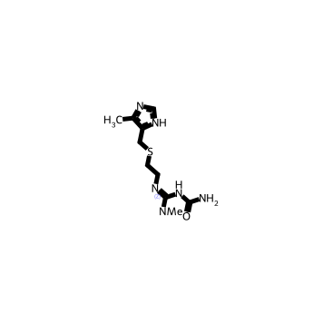 CN/C(=N/CCSCc1[nH]cnc1C)NC(N)=O